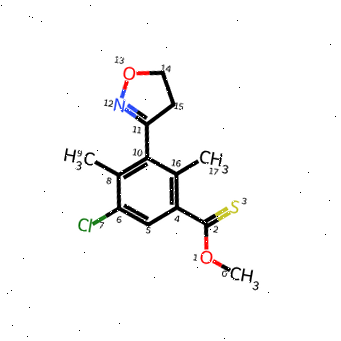 COC(=S)c1cc(Cl)c(C)c(C2=NOCC2)c1C